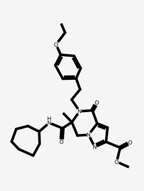 CCOc1ccc(CCN2C(=O)c3cc(C(=O)OC)nn3CC2(C)C(=O)NC2CCCCCC2)cc1